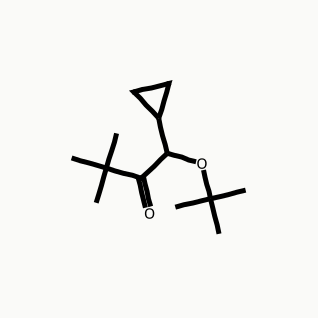 CC(C)(C)OC(C(=O)C(C)(C)C)C1CC1